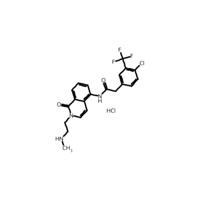 CNCCn1ccc2c(NC(=O)Cc3ccc(Cl)c(C(F)(F)F)c3)cccc2c1=O.Cl